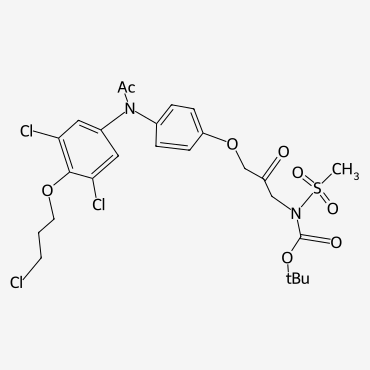 CC(=O)N(c1ccc(OCC(=O)CN(C(=O)OC(C)(C)C)S(C)(=O)=O)cc1)c1cc(Cl)c(OCCCCl)c(Cl)c1